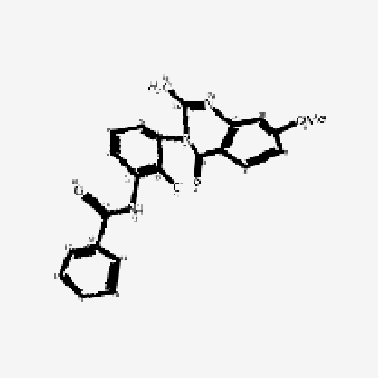 COc1ccc2c(=O)n(-c3cccc(NC(=O)c4ccccc4)c3Cl)c(C)nc2c1